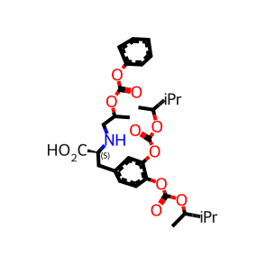 CC(CN[C@@H](Cc1ccc(OC(=O)OC(C)C(C)C)c(OC(=O)OC(C)C(C)C)c1)C(=O)O)OC(=O)Oc1ccccc1